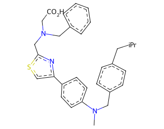 CC(C)Cc1ccc(CN(C)c2ccc(-c3csc(CN(CC(=O)O)Cc4ccccc4)n3)cc2)cc1